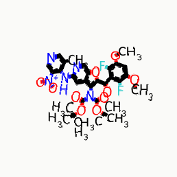 COc1cc(OC)c(F)c(C(=O)c2oc3cnc(Nc4c(C)cncc4[N+](=O)[O-])cc3c2N(C(=O)OC(C)(C)C)C(=O)OC(C)(C)C)c1F